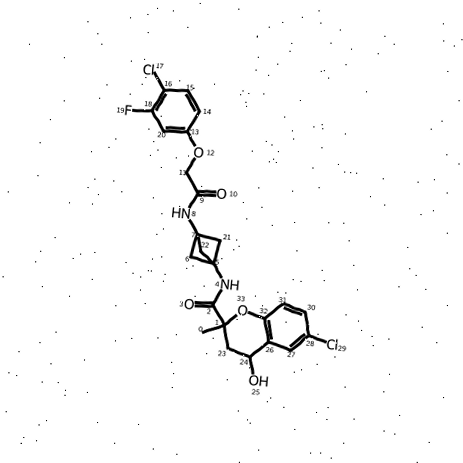 CC1(C(=O)NC23CC(NC(=O)COc4ccc(Cl)c(F)c4)(C2)C3)CC(O)c2cc(Cl)ccc2O1